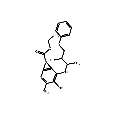 CCOC(=O)N1c2nc(N)c(N)c(NC(C)C(O)COc3ccccc3)c21